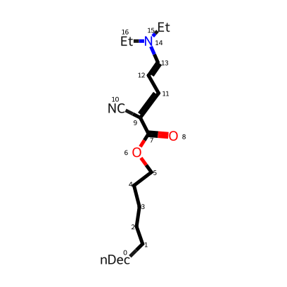 CCCCCCCCCCCCCCCOC(=O)/C(C#N)=C/C=C/N(CC)CC